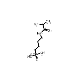 CC(C)C(=O)NCCCCP(=O)(O)O